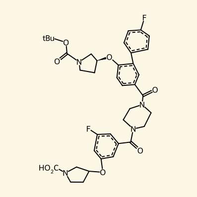 CC(C)(C)OC(=O)N1CC[C@H](Oc2ccc(C(=O)N3CCN(C(=O)c4cc(F)cc(OC5CCN(C(=O)O)C5)c4)CC3)cc2-c2ccc(F)cc2)C1